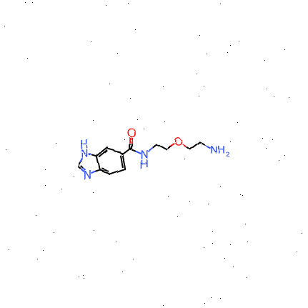 NCCOCCNC(=O)c1ccc2nc[nH]c2c1